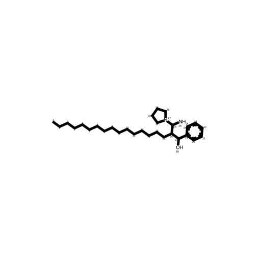 CCCCCCCCCCCCCCCCC(C(O)c1ccccc1)C(N)N1CCCC1